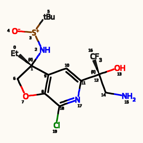 CC[C@]1(N[S+]([O-])C(C)(C)C)COc2c1cc([C@](O)(CN)C(F)(F)F)nc2Cl